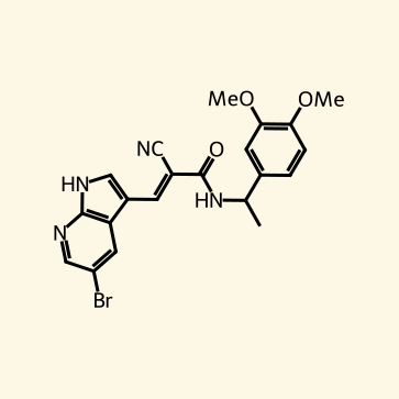 COc1ccc(C(C)NC(=O)/C(C#N)=C/c2c[nH]c3ncc(Br)cc23)cc1OC